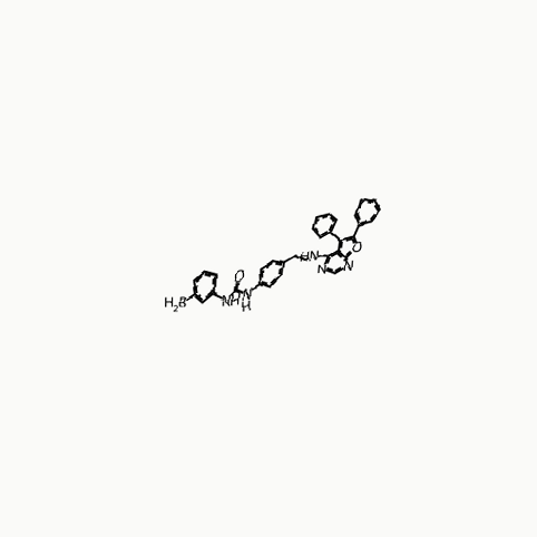 Bc1cccc(NC(=O)Nc2ccc(CCNc3ncnc4oc(-c5ccccc5)c(-c5ccccc5)c34)cc2)c1